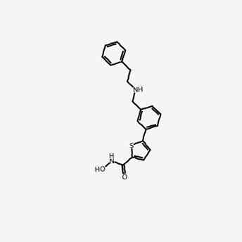 O=C(NO)c1ccc(-c2cccc(CNCCc3ccccc3)c2)s1